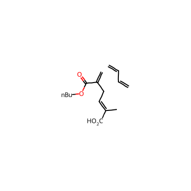 C=C(CC=C(C)C(=O)O)C(=O)OCCCC.C=CC=C